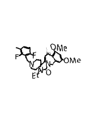 CCN1C(=O)N2Cc3cc(OC)cc(OC)c3[C@@H](C)C=C2C12CCN(Cc1c(F)ccc(C)c1F)CC2